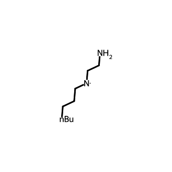 CCCCCCC[N]CCN